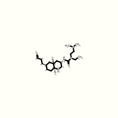 CCN(CCN(C)C)C(=O)N[C@@H]1CN[C@H]2CC[C@@H](CCC=O)C[C@@H]2C1